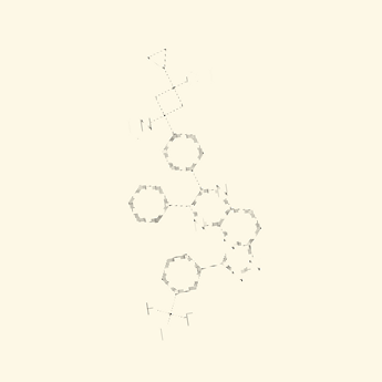 NC1(c2ccc(-c3nc4ccc5nnc(-c6cccc(C(F)(F)F)c6)n5c4nc3-c3ccccc3)cc2)CC(O)(C2CC2)C1